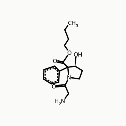 CCCCOC(=O)C1(c2ccccc2)[C@@H](O)CCN1C(=O)CN